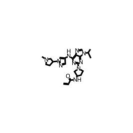 C=CC(=O)NC1CCN(c2nc(Nc3cnn(C4CCN(C)C4)c3)c3ncn(C(C)C)c3n2)C1